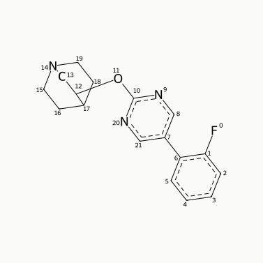 Fc1ccccc1-c1cnc(OC2CN3CCC2CC3)nc1